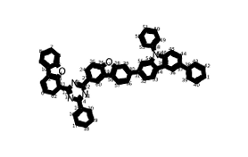 C1=Cc2c(oc3ccccc23)C(c2nc(-c3ccccc3)nc(-c3ccc4oc5cc(-c6ccc7c8cc(-c9ccccc9)ccc8n(-c8ccccc8)c7c6)ccc5c4c3)n2)C1